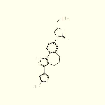 CC(=O)NC[C@H]1CN(c2ccc3c(c2)CCCc2c(-c4csc(O)c4)n[nH]c2-3)C(=O)O1